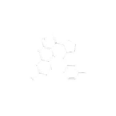 N#Cc1ccc2nc(C(=O)N3CCCC3Cc3cccc(Cl)c3)c(O)nc2c1